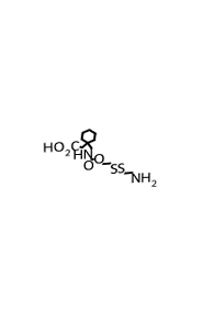 NCCSSCCOC(=O)NCC1(CC(=O)O)CCCCC1